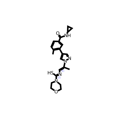 C/C(=C\N=C(/S)N1CCOCC1)n1cc(-c2cc(C(=O)NC3CC3)ccc2C)cn1